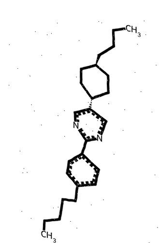 CCCCCc1ccc(-c2ncc([C@H]3CC[C@H](CCCC)CC3)cn2)cc1